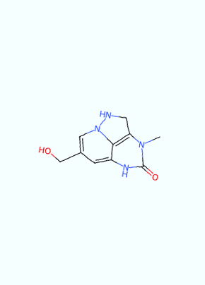 CN1C(=O)NC2=CC(CO)=CN3NCC1=C23